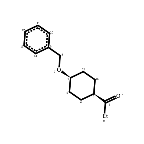 CCC(=O)[C@H]1CC[C@@H](OCc2ccccc2)CC1